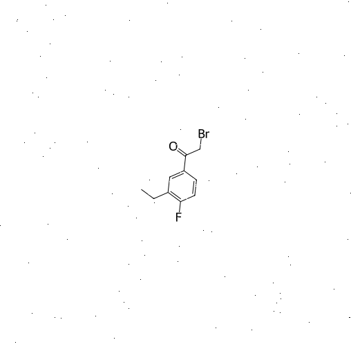 CCc1cc(C(=O)CBr)ccc1F